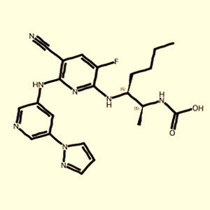 CCCC[C@H](Nc1nc(Nc2cncc(-n3cccn3)c2)c(C#N)cc1F)[C@H](C)NC(=O)O